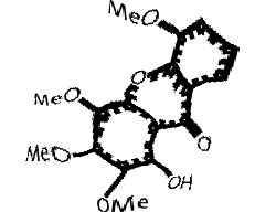 COc1c(OC)c(O)c2c(=O)c3cccc(OC)c3oc2c1OC